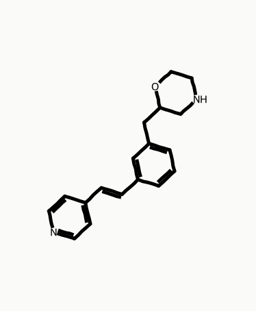 C(=Cc1cccc(CC2CNCCO2)c1)c1ccncc1